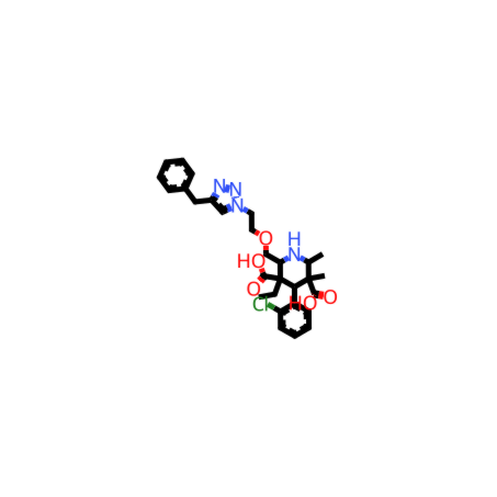 CCC1(C(=O)O)C(COCCn2cc(Cc3ccccc3)nn2)NC(C)C(C)(C(=O)O)C1c1ccccc1Cl